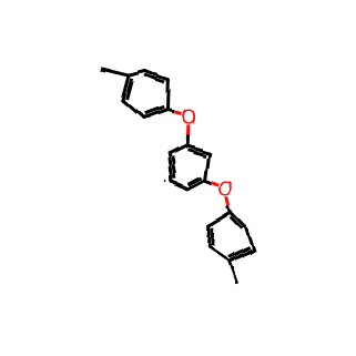 Cc1ccc(Oc2c[c]cc(Oc3ccc(C)cc3)c2)cc1